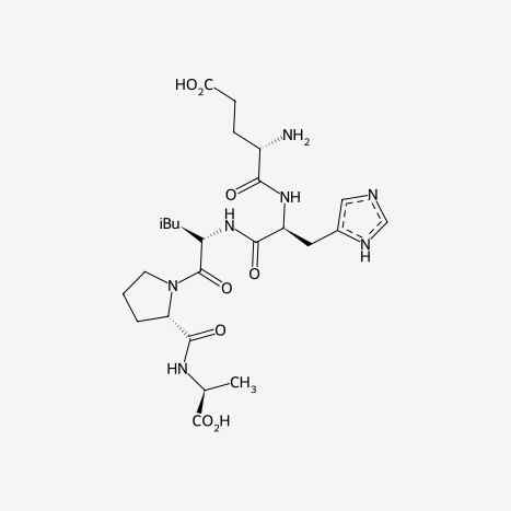 CC[C@H](C)[C@H](NC(=O)[C@H](Cc1cnc[nH]1)NC(=O)[C@@H](N)CCC(=O)O)C(=O)N1CCC[C@H]1C(=O)N[C@@H](C)C(=O)O